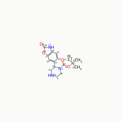 CC(C)(C)OC(=O)N1CCNCC1c1ccc2[nH]c(=O)oc2c1